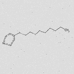 CCCCCCCCC[CH]c1ccncc1